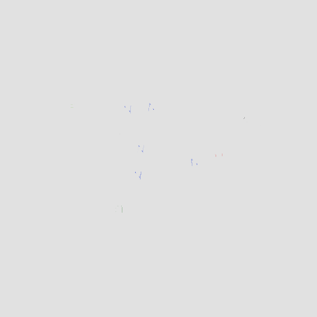 Cc1cc(-c2nnc3c4c(F)cccc4c(Cl)nn23)no1